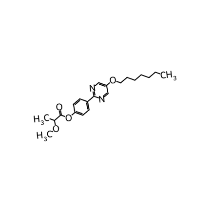 CCCCCCCOc1cnc(-c2ccc(OC(=O)C(C)OC)cc2)nc1